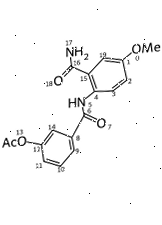 COc1ccc(NC(=O)c2cccc(OC(C)=O)c2)c(C(N)=O)c1